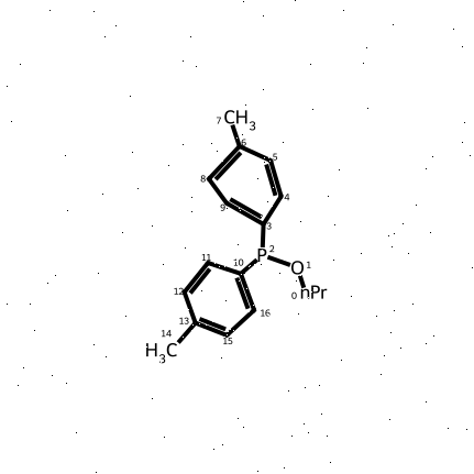 CCCOP(c1ccc(C)cc1)c1ccc(C)cc1